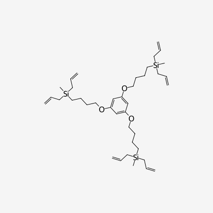 C=CC[Si](C)(CC=C)CCCCOc1cc(OCCCC[Si](C)(CC=C)CC=C)cc(OCCCC[Si](C)(CC=C)CC=C)c1